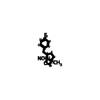 C[C@@]12CCC(Cc3ccc(F)cc3)[C@]1(C#N)OC2